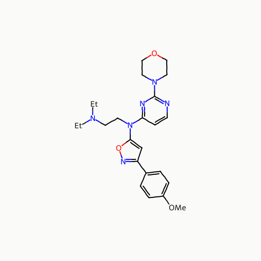 CCN(CC)CCN(c1ccnc(N2CCOCC2)n1)c1cc(-c2ccc(OC)cc2)no1